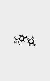 CC(N)c1ncc(Oc2ccc(F)cc2F)cn1